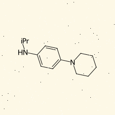 CC(C)Nc1ccc(N2CCCCC2)cc1